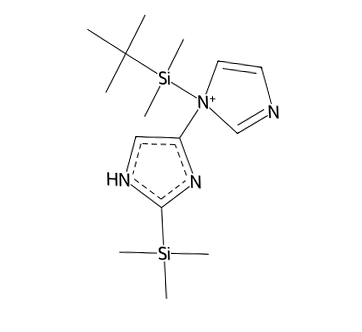 CC(C)(C)[Si](C)(C)[N+]1(c2c[nH]c([Si](C)(C)C)n2)C=CN=C1